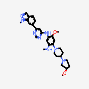 CNc1cc(Nc2cc(-c3ccc4cnn(C)c4c3)ncn2)c(OC)cc1N1CCC(N2CCC(OC)C2)CC1